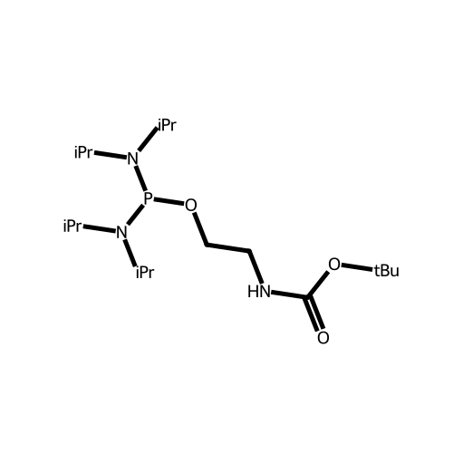 CC(C)N(C(C)C)P(OCCNC(=O)OC(C)(C)C)N(C(C)C)C(C)C